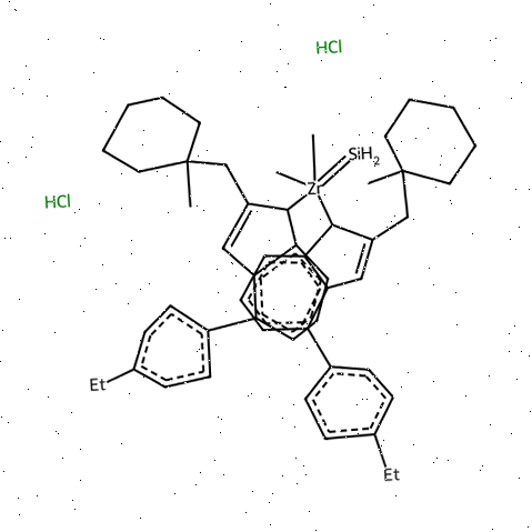 CCc1ccc(-c2cccc3c2C=C(CC2(C)CCCCC2)[CH]3[Zr]([CH3])([CH3])(=[SiH2])[CH]2C(CC3(C)CCCCC3)=Cc3c(-c4ccc(CC)cc4)cccc32)cc1.Cl.Cl